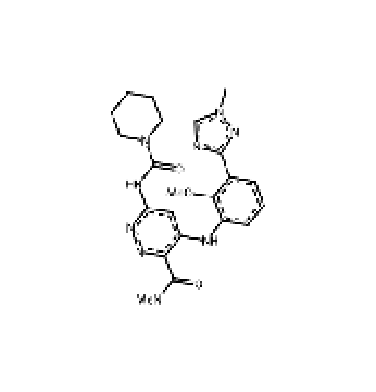 CNC(=O)c1nnc(NC(=O)N2CCCCC2)cc1Nc1cccc(-c2ncn(C)n2)c1OC